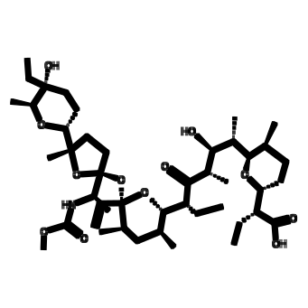 C=C[C@@]1(O[C@]2([C@@H](C)NC(=O)OC)CC[C@@](C)([C@H]3CC[C@](O)(CC)[C@H](C)O3)O2)O[C@H]([C@@H](CC)C(=O)[C@@H](C)[C@@H](O)[C@H](C)[C@@H]2O[C@@H]([C@@H](CC)C(=O)O)CC[C@@H]2C)[C@@H](C)C[C@H]1C